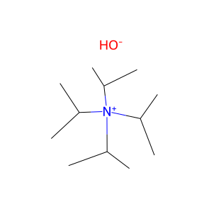 CC(C)[N+](C(C)C)(C(C)C)C(C)C.[OH-]